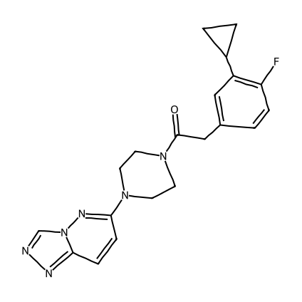 O=C(Cc1ccc(F)c(C2CC2)c1)N1CCN(c2ccc3nncn3n2)CC1